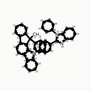 CC1(c2ccccc2)c2ccccc2-c2ccc3c4ccccc4n(-c4ccc(-c5nc6ccccc6n5-c5ccccc5)cc4)c3c21